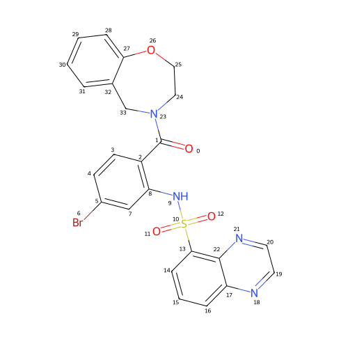 O=C(c1ccc(Br)cc1NS(=O)(=O)c1cccc2nccnc12)N1CCOc2ccccc2C1